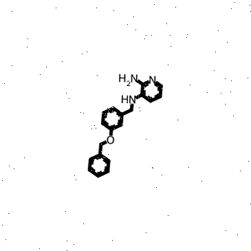 Nc1ncccc1NCc1cccc(OCc2ccccc2)c1